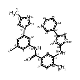 Cc1cn(-c2cc(F)cc(NC(=O)c3ccc(C)c(Nc4nc(-c5cccnc5)cs4)c3)c2)cn1